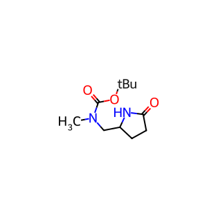 CN(CC1CCC(=O)N1)C(=O)OC(C)(C)C